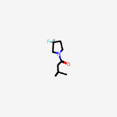 CC(C)CC(=O)N1CC[C@H](F)C1